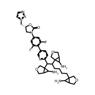 NC1C2COCC12CCCCC(C(c1ccc(-c2c(F)cc(N3C[C@H](Cn4ccnn4)OC3=O)cc2F)cn1)C12COCC1C2N)C12COCC1C2N